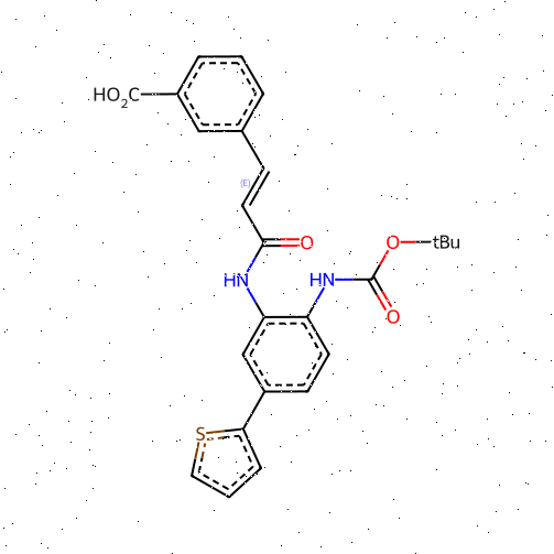 CC(C)(C)OC(=O)Nc1ccc(-c2cccs2)cc1NC(=O)/C=C/c1cccc(C(=O)O)c1